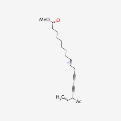 C=CC(C#CC#CC/C=C/CCCCCCCC(=O)OC)C(C)=O